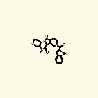 CN(C(=O)c1n[nH]c2c1CN(C(=O)c1cc3ccccc3[nH]1)CC2)C1CCCOC1